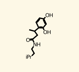 CC(C)CCNC(=O)CC(C)c1ccc(O)cc1O